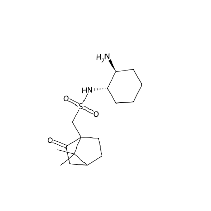 CC1(C)C2CCC1(CS(=O)(=O)N[C@H]1CCCC[C@@H]1N)C(=O)C2